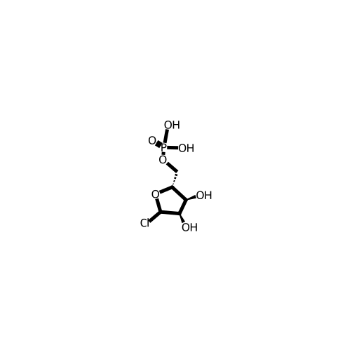 O=P(O)(O)OC[C@H]1OC(Cl)[C@H](O)[C@@H]1O